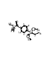 C=C(c1ccc([Si](CC)(OC)OC)cc1)[SiH](C)C